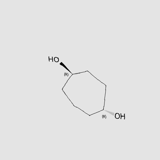 O[C@@H]1CCC[C@@H](O)CC1